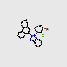 Clc1c(Br)cccc1-n1c(-c2cc3ccccc3c3ccccc23)nc2ccccc21